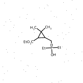 CCOC(=O)C1C(C[PH](O)(CC)CC)C1(C)C